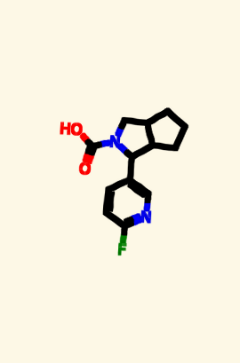 O=C(O)N1CC2CCCC2C1c1ccc(F)nc1